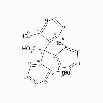 CC(C)(C)c1ccccc1C(C(=O)O)(c1ccccc1C(C)(C)C)c1ccccc1C(C)(C)C